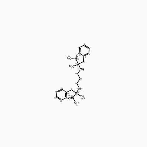 C[C@@](Cc1ccccc1)(NCCCN[C@@](C)(Cc1ccccc1)C(=O)O)C(=O)O